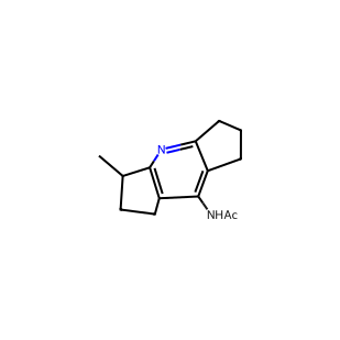 CC(=O)Nc1c2c(nc3c1CCC3C)CCC2